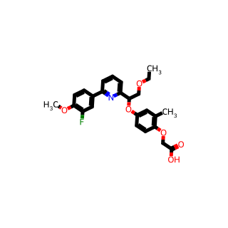 CCOCC(Oc1ccc(OCC(=O)O)c(C)c1)c1cccc(-c2ccc(OC)c(F)c2)n1